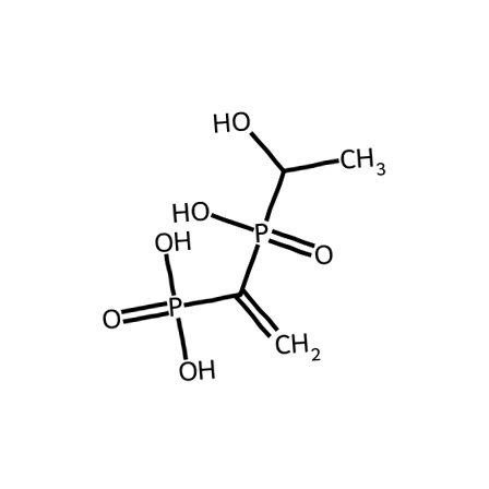 C=C(P(=O)(O)O)P(=O)(O)C(C)O